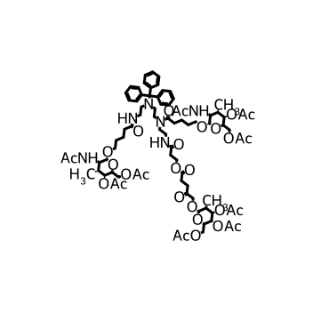 CC(=O)NC1[C@H](OCCCCC(=O)NCCN(CCN(CCNC(=O)CCOC(=O)CCC(=O)CO[C@@H]2OC(COC(C)=O)[C@@H](OC(C)=O)[C@H](OC(C)=O)C2C)C(=O)CCCCO[C@H]2OC(COC(C)=O)[C@@H](OC(C)=O)[C@@H](C)C2NC(C)=O)C(c2ccccc2)(c2ccccc2)c2ccccc2)OC(COC(C)=O)[C@H](OC(C)=O)[C@@H]1C